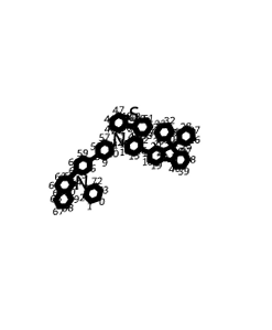 c1ccc(-n2c3cc(-c4ccc(N(c5ccc(-c6ccc7c(c6)C(c6ccccc6)(c6ccccc6)c6ccccc6-7)cc5)c5cccc6sc7ccccc7c56)cc4)ccc3c3ccc4ccccc4c32)cc1